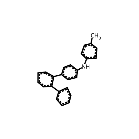 Cc1ccc(Nc2ccc(-c3ccccc3-c3ccccc3)cc2)cc1